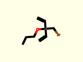 C=C[Si](C=C)(CBr)OCCC